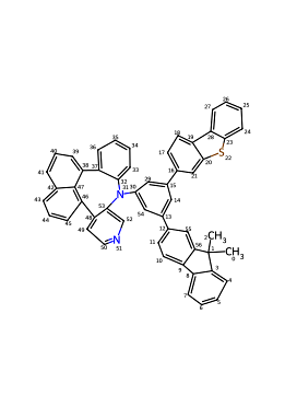 CC1(C)c2ccccc2-c2ccc(-c3cc(-c4ccc5c(c4)sc4ccccc45)cc(N4c5ccccc5-c5cccc6cccc(c56)-c5ccncc54)c3)cc21